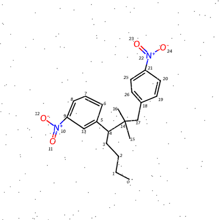 [CH2]CCCC(c1cccc([N+](=O)[O-])c1)C(C)(C)Cc1ccc([N+](=O)[O-])cc1